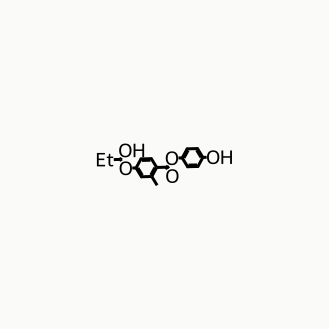 CCC(O)Oc1ccc(C(=O)Oc2ccc(O)cc2)c(C)c1